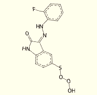 O=C1Nc2ccc(SOOO)cc2/C1=N/Nc1ccccc1F